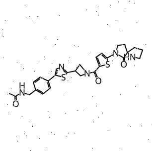 CC(=O)NCc1ccc(-c2cnc(C3CN(C(=O)c4ccc(N5CCC6(CCCN6)C5=O)s4)C3)s2)cc1